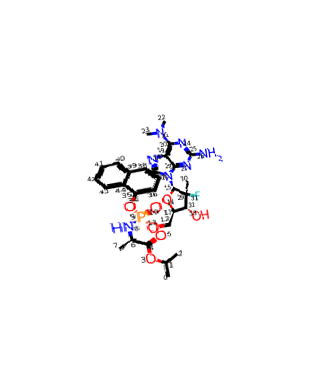 CC(C)OC(=O)[C@@H](C)N[P@](=O)(OC[C@H]1O[C@@H](n2cnc3c(N(C)C)nc(N)nc32)[C@](C)(F)[C@@H]1O)Oc1cccc2ccccc12